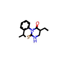 CCC1CNC(=S)N(c2ccccc2C(C)C)C1=O